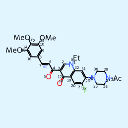 CCn1cc(C(=O)/C=C/c2cc(OC)c(OC)c(OC)c2)c(=O)c2cc(F)c(N3CCN(C(C)=O)CC3)cc21